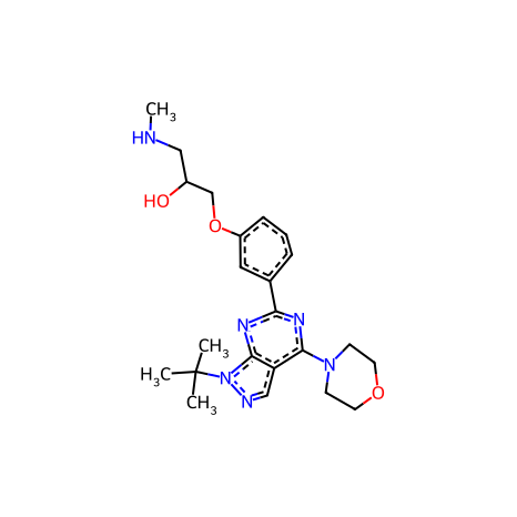 CNCC(O)COc1cccc(-c2nc(N3CCOCC3)c3cnn(C(C)(C)C)c3n2)c1